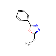 [CH2-][CH+]c1nnc(-c2ccccc2)o1